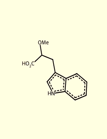 COC(Cc1c[nH]c2ccccc12)C(=O)O